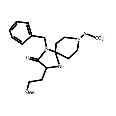 CSCCC1NC2(CCN(SC(=O)O)CC2)N(Cc2ccccc2)C1=O